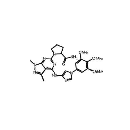 COc1cc(-n2cnc(Nc3nc(N4CCCC4C(N)=O)nc4c3c(C)nn4C)c2)cc(OC)c1OC